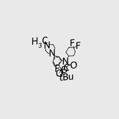 CN1CCN(c2ccc(C(=O)OC(C)(C)C)c(N(C(=O)C(F)(F)F)C3CCC(F)(F)CC3)c2)CC1